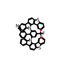 N#Cc1cccc(-c2c(-n3c4ccccc4c4ccc5sc6ccccc6c5c43)cc(C(F)(F)F)cc2-n2c3ccccc3c3ccc4sc5ccccc5c4c32)c1